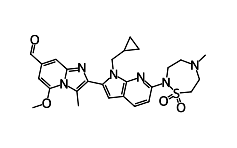 COc1cc(C=O)cc2nc(-c3cc4ccc(N5CCN(C)CCS5(=O)=O)nc4n3CC3CC3)c(C)n12